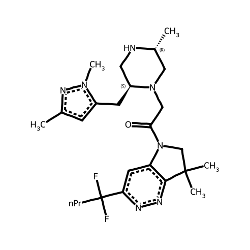 CCCC(F)(F)c1cc2c(nn1)C(C)(C)CN2C(=O)CN1C[C@@H](C)NC[C@@H]1Cc1cc(C)nn1C